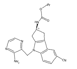 CC(C)OC(=O)N[C@H]1Cc2c(n(Cc3nccnc3N)c3ccc(C#N)cc23)C1